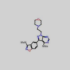 CNc1noc2ccc(-c3nn(CCN4CCOCC4)c4ncnc(NC)c34)cc12